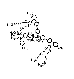 COCCOCCOCCC1(CCOCCOCCOC)c2cc(C)ccc2-c2ccc(-c3ccc(N(c4ccc(-c5ccc6c(c5)C(CCOCCOCCOC)(CCOCCOCCOC)c5cc(C)ccc5-6)cc4)c4cc(C(c5ccc(C)c(N(c6ccc(C)cc6)c6ccc(C)cc6)c5)(C(F)(F)F)C(F)(F)F)ccc4C)cc3)cc21